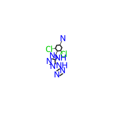 N#Cc1cc(Cl)c(-c2nc3ncnc(Nc4cnccn4)c3[nH]2)c(Cl)c1